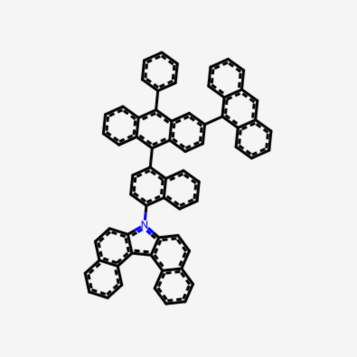 c1ccc(-c2c3ccccc3c(-c3ccc(-n4c5ccc6ccccc6c5c5c6ccccc6ccc54)c4ccccc34)c3ccc(-c4c5ccccc5cc5ccccc45)cc23)cc1